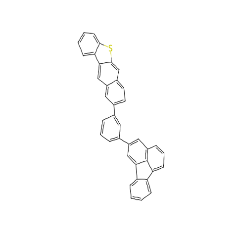 c1cc(-c2ccc3cc4sc5ccccc5c4cc3c2)cc(-c2cc3c4c(cccc4c2)-c2ccccc2-3)c1